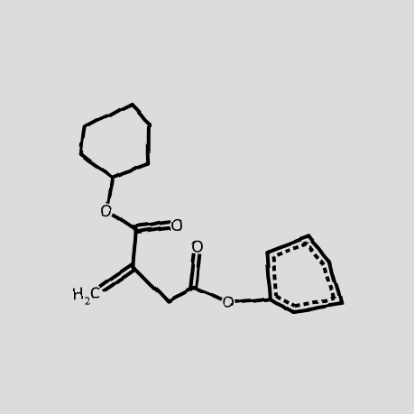 C=C(CC(=O)Oc1ccccc1)C(=O)OC1CCCCC1